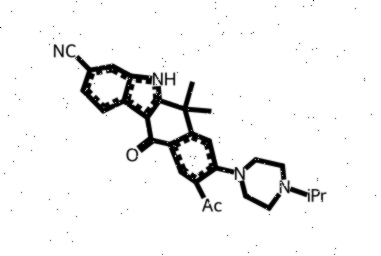 CC(=O)c1cc2c(cc1N1CCN(C(C)C)CC1)C(C)(C)c1[nH]c3cc(C#N)ccc3c1C2=O